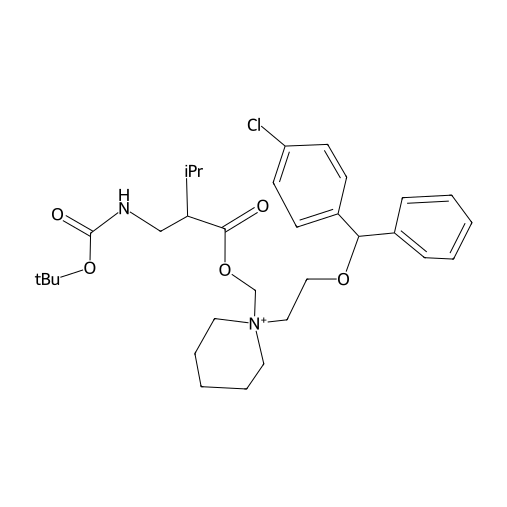 CC(C)C(CNC(=O)OC(C)(C)C)C(=O)OC[N+]1(CCOC(c2ccccc2)c2ccc(Cl)cc2)CCCCC1